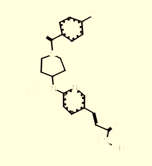 Cl.O=C(/C=C/c1ccc(NC2CCN(C(=O)c3ccc(F)cc3)CC2)nc1)NO